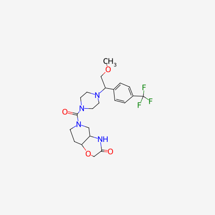 COCC(c1ccc(C(F)(F)F)cc1)N1CCN(C(=O)N2CCC3OCC(=O)NC3C2)CC1